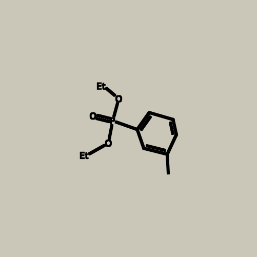 CCOP(=O)(OCC)c1cccc(C)c1